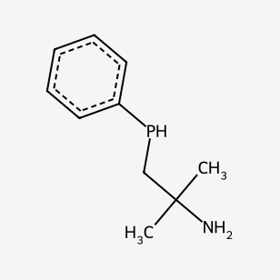 CC(C)(N)CPc1ccccc1